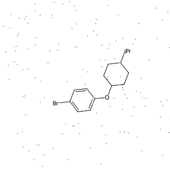 CC(C)C1CCC(Oc2ccc(Br)cc2)CC1